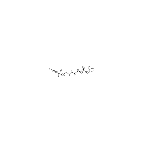 CC#CC(C)(C)OCCCCCOC(=O)OC(C)(C)C